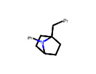 CC(C)CC12CCC(CC1)N2C(C)C